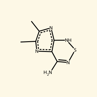 Cc1nc2c(nc1C)C(N)=NSN2